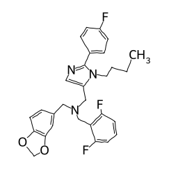 CCCCn1c(CN(Cc2ccc3c(c2)OCO3)Cc2c(F)cccc2F)cnc1-c1ccc(F)cc1